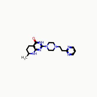 CC1CCc2c(nc(N3CCN(CCc4ncccn4)CC3)[nH]c2=O)N1